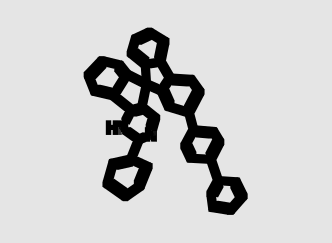 C1=NC(c2ccccc2)NC2=C1C1(c3ccccc32)c2ccccc2-c2ccc(-c3ccc(-c4ccccc4)cc3)cc21